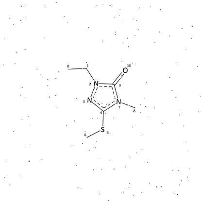 CCn1nc(SC)n(C)c1=O